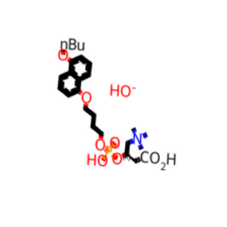 CCCCOc1cccc2c(OCCCCOP(=O)(O)O[C@H](CC(=O)O)C[N+](C)(C)C)cccc12.[OH-]